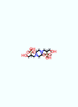 O=S(=O)(O)C(CO)CN1CCN(CC(CO)S(=O)(=O)O)CC1